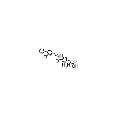 N[C@@H](Cc1ccc(C(=O)NCCc2ccc(-c3ccccc3)c(Cl)c2)cc1)C(=O)O